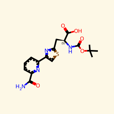 CC(C)(C)OC(=O)N[C@@H](Cc1nc(-c2cccc(C(N)=O)n2)cs1)C(=O)O